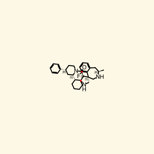 C[C@@H]1Cc2cccc(F)c2[C@@]2(CNC[C@H]2C(=O)N2CC[C@@H](c3ccccc3)C[C@H]2C2CCCCC2)CN1